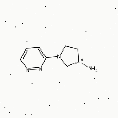 N[C@H]1CCN(c2cccnn2)C1